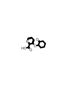 O=C(O)c1ncccc1OC1CCCCC1=O